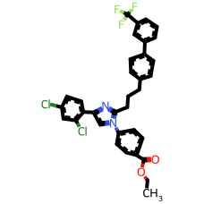 CCOC(=O)c1ccc(-n2cc(-c3ccc(Cl)cc3Cl)nc2CCCc2ccc(-c3cccc(C(F)(F)F)c3)cc2)cc1